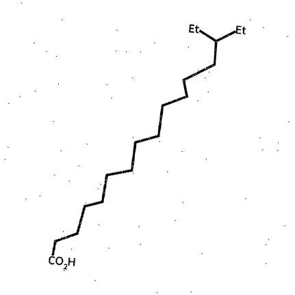 CCC(CC)CCCCCCCCCCCCC(=O)O